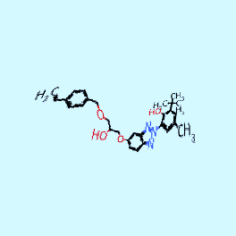 C=Cc1ccc(COCC(O)COc2ccc3nn(-c4cc(C)cc(C(C)(C)C)c4O)nc3c2)cc1